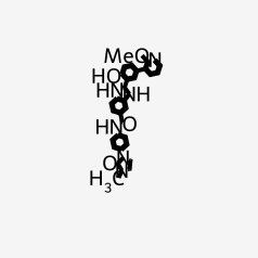 COc1ncccc1-c1ccc(O)c(C2Nc3ccc(C(=O)Nc4ccc(N5CCN(C)C5=O)cc4)cc3N2)c1